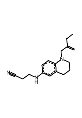 C=C(CC)CN1CCCc2cc(NCCC#N)ccc21